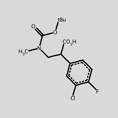 CN(CC(C(=O)O)c1ccc(F)c(Cl)c1)C(=O)OC(C)(C)C